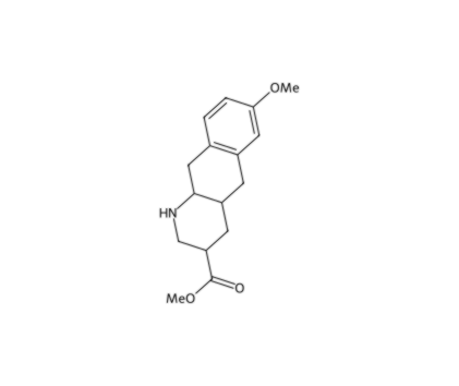 COC(=O)C1CNC2Cc3ccc(OC)cc3CC2C1